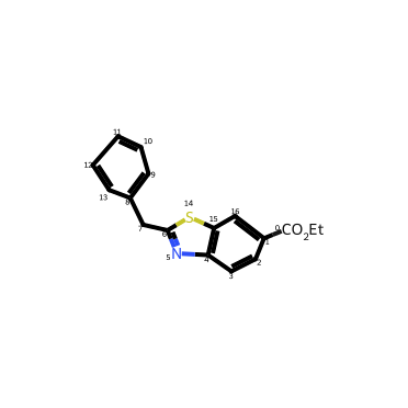 CCOC(=O)c1ccc2nc(Cc3ccccc3)sc2c1